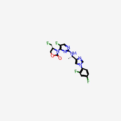 C[C@H](Nc1ncc(F)c(N2C(=O)OC[C@@H]2CF)n1)c1cn(-c2ccc(F)cc2F)cn1